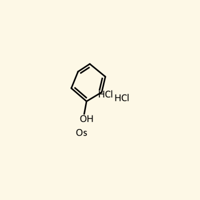 Cl.Cl.Oc1ccccc1.[Os]